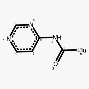 CC(C)(C)C(=O)Nc1ccncn1